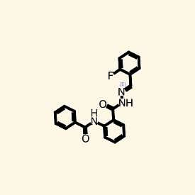 O=C(Nc1ccccc1C(=O)N/N=C/c1ccccc1F)c1ccccc1